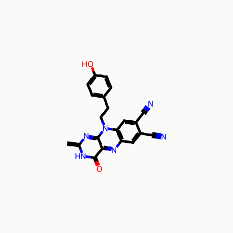 C=c1nc2c(c(=O)[nH]1)=Nc1cc(C#N)c(C#N)cc1N2CCc1ccc(O)cc1